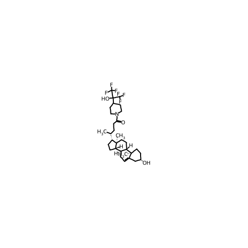 CC(CCC(=O)N1CCC(C(O)(C(F)(F)F)C(F)(F)F)CC1)[C@H]1CC[C@H]2[C@@H]3CC=C4C[C@@H](O)CC[C@]4(C)[C@H]3CC[C@]12C